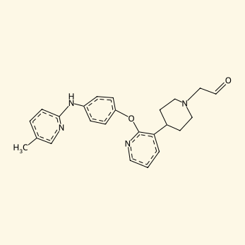 Cc1ccc(Nc2ccc(Oc3ncccc3C3CCN(CC=O)CC3)cc2)nc1